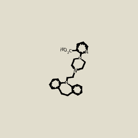 O=C(O)c1cccnc1N1CCN(CCN2c3ccccc3CCc3ccccc32)CC1